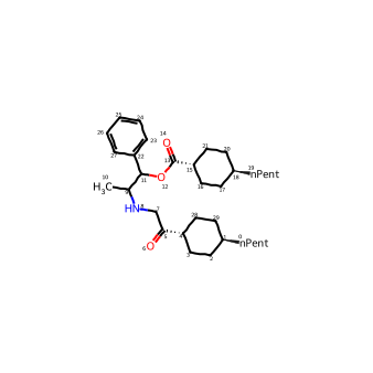 CCCCC[C@H]1CC[C@H](C(=O)CNC(C)C(OC(=O)[C@H]2CC[C@H](CCCCC)CC2)c2ccccc2)CC1